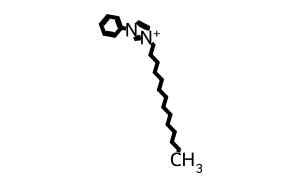 CCCCCCCCCCCCCC[n+]1ccn(-c2ccccc2)c1